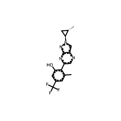 Cc1cc(C(F)(F)F)cc(O)c1-c1cnc2cn([C@H]3C[C@@H]3C)nc2n1